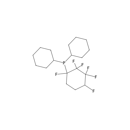 FC1CCC(F)(P(C2CCCCC2)C2CCCCC2)C(F)(F)C1(F)F